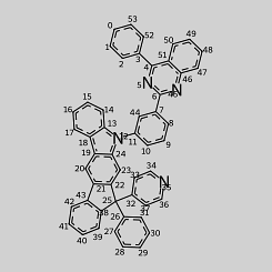 c1ccc(-c2nc(-c3cccc(-n4c5ccccc5c5cc6c(cc54)C(c4ccccc4)(c4ccncc4)c4ccccc4-6)c3)nc3ccccc23)cc1